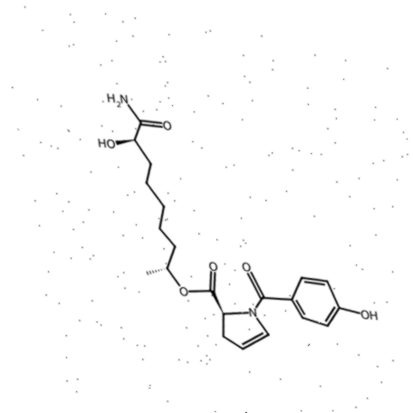 C[C@H](CCCCC[C@@H](O)C(N)=O)OC(=O)[C@@H]1CC=CN1C(=O)c1ccc(O)cc1